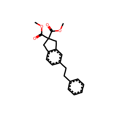 COC(=O)C1(C(=O)OC)Cc2ccc(CCc3ccccc3)cc2C1